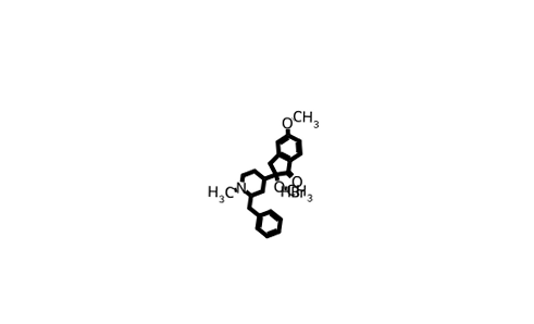 Br.COc1ccc2c(c1)CC(OC)(C1CCN(C)C(Cc3ccccc3)C1)C2=O